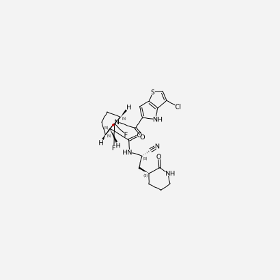 N#C[C@H](C[C@@H]1CCCNC1=O)NC(=O)[C@@H]1[C@@H]2CC[C@@H](CC2(F)F)N1C(=O)c1cc2scc(Cl)c2[nH]1